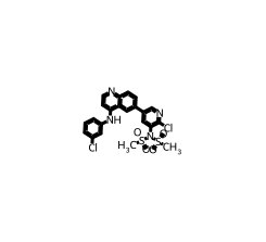 CS(=O)(=O)N(c1cc(-c2ccc3nccc(Nc4cccc(Cl)c4)c3c2)cnc1Cl)S(C)(=O)=O